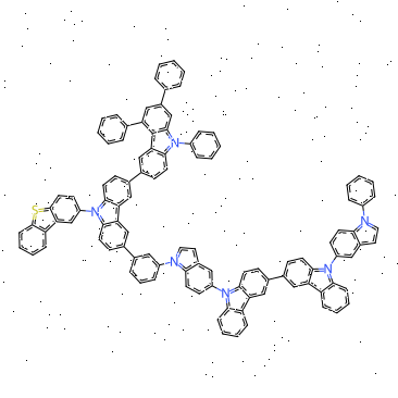 c1ccc(-c2cc(-c3ccccc3)c3c4cc(-c5ccc6c(c5)c5cc(-c7cccc(-n8ccc9cc(-n%10c%11ccccc%11c%11cc(-c%12ccc%13c(c%12)c%12ccccc%12n%13-c%12ccc%13c(ccn%13-c%13ccccc%13)c%12)ccc%11%10)ccc98)c7)ccc5n6-c5ccc6sc7ccccc7c6c5)ccc4n(-c4ccccc4)c3c2)cc1